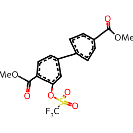 COC(=O)c1ccc(-c2ccc(C(=O)OC)c(OS(=O)(=O)C(F)(F)F)c2)cc1